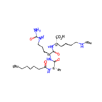 CC(C)[C@H](NC(=O)CCCCCC(C)(C)C)C(=O)N[C@@H](CCCNC(N)=O)C(=O)N[C@@H](CCCCNC(C)(C)C)C(=O)O